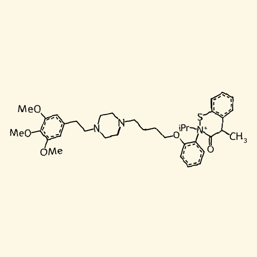 COc1cc(CCN2CCN(CCCCOc3ccccc3[N+]3(C(C)C)Sc4ccccc4C(C)C3=O)CC2)cc(OC)c1OC